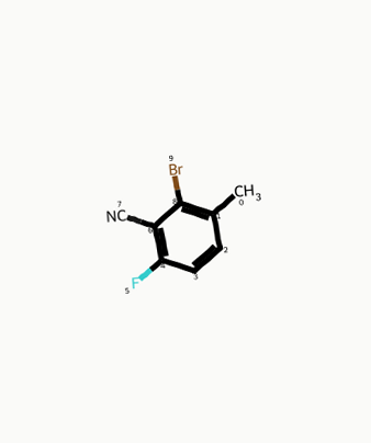 Cc1ccc(F)c(C#N)c1Br